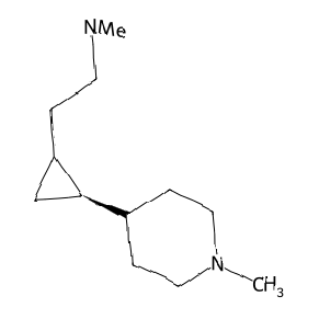 CNCCC1C[C@@H]1C1CCN(C)CC1